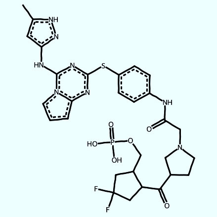 Cc1cc(Nc2nc(Sc3ccc(NC(=O)CN4CCC(C(=O)C5CC(F)(F)CC5COP(=O)(O)O)C4)cc3)nc3cccn23)n[nH]1